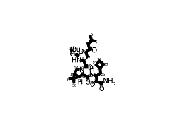 CC(C)=CC(=O)CC[C@H](NC(=O)OC(C)(C)C)C(=O)N1CC2[C@@H](C1C(=O)NC(CC1CCC1)C(=O)C(N)=O)C2(C)C